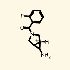 NC1C2CN(C(=O)c3ccccc3F)C[C@H]12